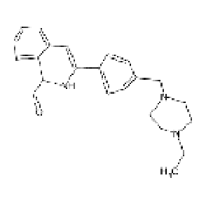 CCN1CCN(Cc2ccc(C3=Cc4ccccc4C(C=O)N3)cc2)CC1